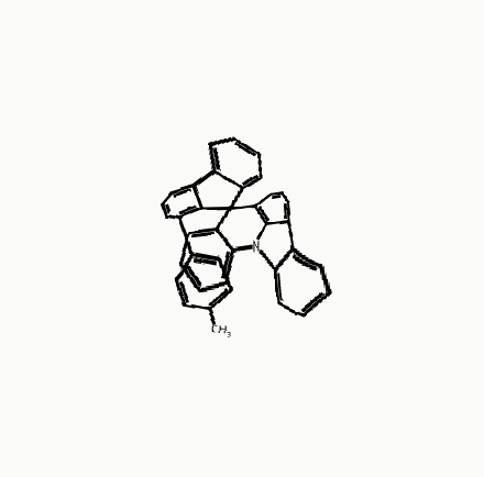 Cc1ccc(-c2cccc3c2C2(c4ccccc4-3)c3ccccc3-n3c4ccccc4c4cccc2c43)cc1